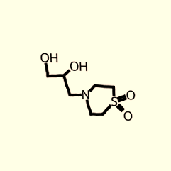 O=S1(=O)CCN(CC(O)CO)CC1